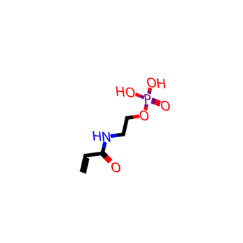 C=CC(=O)NCCOP(=O)(O)O